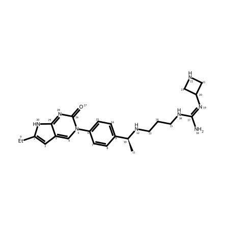 CCc1cc2cn(-c3ccc([C@H](C)NCCCN/C(N)=N\C4CNC4)cc3)c(=O)nc2[nH]1